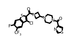 O=C(c1cscn1)N1CCN(C2CN(C(=O)c3sc4cc(F)c(C(F)(F)F)cc4c3Cl)C2)CC1